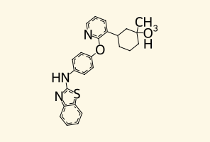 CC1(O)CCCC(c2cccnc2Oc2ccc(Nc3nc4ccccc4s3)cc2)C1